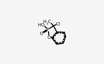 CC(Cl)(c1ccccc1)P(=O)(O)O